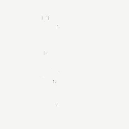 CN=C1Cc2ccccc2C12CCN(C(=O)C1(F)CCN(Cc3ccnc(N)c3)CC1)CC2